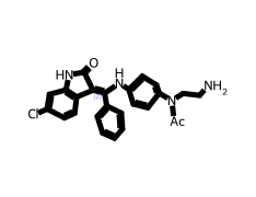 CC(=O)N(CCN)c1ccc(N/C(=C2\C(=O)Nc3cc(Cl)ccc32)c2ccccc2)cc1